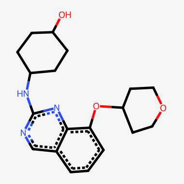 OC1CCC(Nc2ncc3cccc(OC4CCOCC4)c3n2)CC1